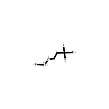 FPOCCC(F)(F)F